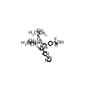 C[Si](C)(C)CCOCN(COCC[Si](C)(C)C)c1cc([C@H]2CC[C@H](C(F)C(=O)O)CC2)nc2c(-c3ccc(-c4ncccn4)nc3)cnn12